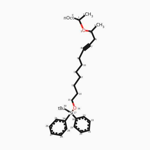 CCCCCCCCC(C)OC(C)CC#CCCCCCCCO[Si](c1ccccc1)(c1ccccc1)C(C)(C)C